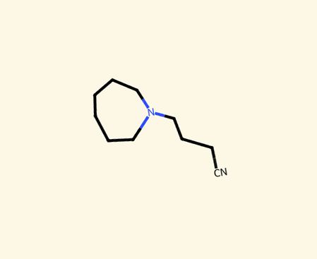 N#CCCCN1CCCCCC1